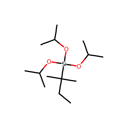 CCC(C)(C)[Si](OC(C)C)(OC(C)C)OC(C)C